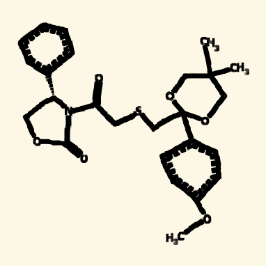 COc1ccc(C2(CSCC(=O)N3C(=O)OC[C@@H]3c3ccccc3)OCC(C)(C)CO2)cc1